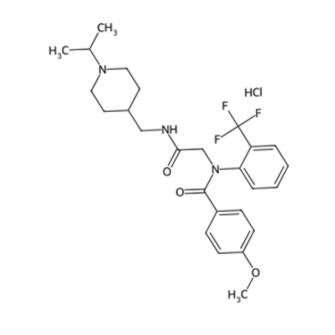 COc1ccc(C(=O)N(CC(=O)NCC2CCN(C(C)C)CC2)c2ccccc2C(F)(F)F)cc1.Cl